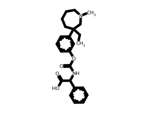 CCC1(c2cccc(OC(=O)NC(C(=O)O)c3ccccc3)c2)CCCCN(C)C1